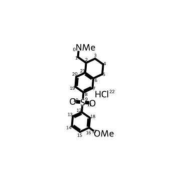 CNCC1CCCc2cc(S(=O)(=O)c3cccc(OC)c3)ccc21.Cl